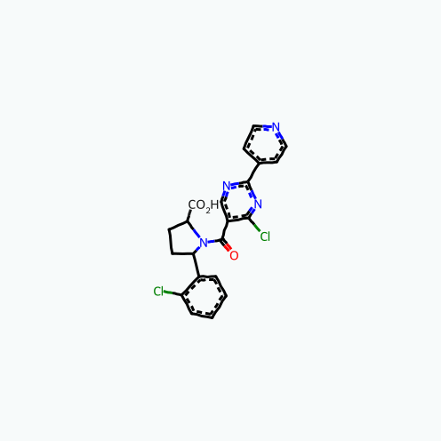 O=C(O)C1CCC(c2ccccc2Cl)N1C(=O)c1cnc(-c2ccncc2)nc1Cl